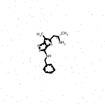 Cc1c(C[C@H](C)N)sc2c(NCc3ccccc3)snc12